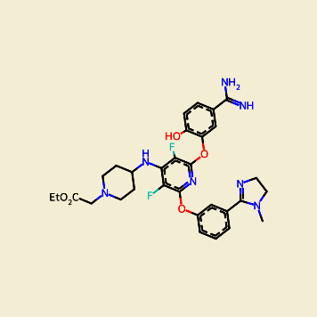 CCOC(=O)CN1CCC(Nc2c(F)c(Oc3cccc(C4=NCCN4C)c3)nc(Oc3cc(C(=N)N)ccc3O)c2F)CC1